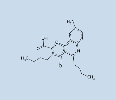 CCCCc1c(C(=O)O)oc2c(c(CCCC)nc3ccc(N)cc32)c1=O